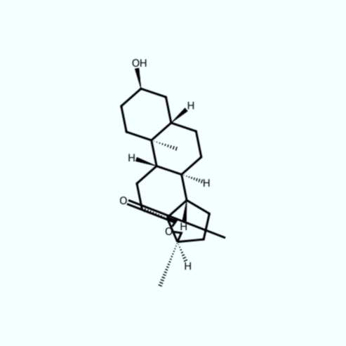 C[C@H]1OC(=O)[C@]23CC[C@H]4[C@@H](CC[C@H]5C[C@H](O)CC[C@@]54C)[C@@H]2CC[C@H]13